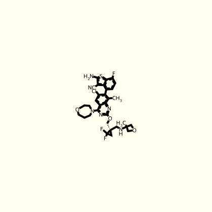 Cc1c(-c2ccc(F)c3sc(N)c(C#N)c23)c(Cl)cc2c(N3CCCOCC3)nc(OC[C@]3(CNC4(C)COC4)CC3(F)F)nc12